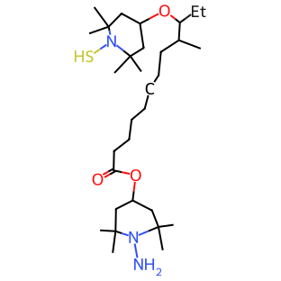 CCC(OC1CC(C)(C)N(S)C(C)(C)C1)C(C)CCCCCCCC(=O)OC1CC(C)(C)N(N)C(C)(C)C1